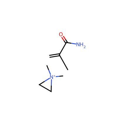 C=C(C)C(N)=O.C[N+]1(C)CC1